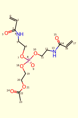 C=CC(=O)NCCOP(=O)(OCCNC(=O)C=C)OCCOC(C)=O